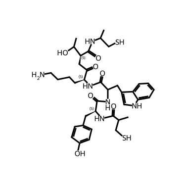 CC(CS)NC(=O)[C@@H](CC(=O)[C@H](CCCCN)NC(=O)C(Cc1c[nH]c2ccccc12)NC(=O)[C@H](Cc1ccc(O)cc1)NC(=O)C(C)CS)C(C)O